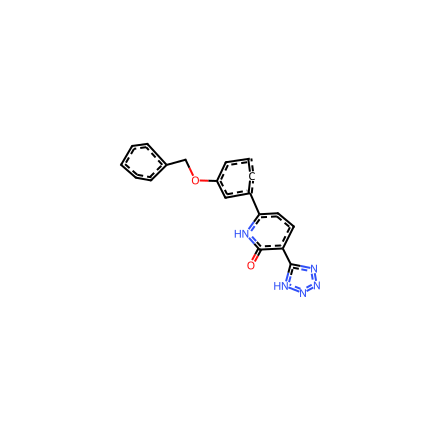 O=c1[nH]c(-c2cccc(OCc3ccccc3)c2)ccc1-c1nnn[nH]1